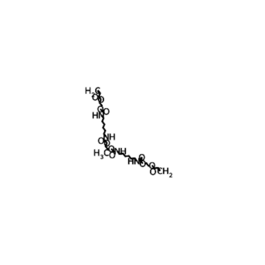 C=CC(=O)OCCOC(=O)NCCCCCCNC(=O)OCC(C)OC(=O)NCCCCCCNC(=O)OCCOC(=O)C=C